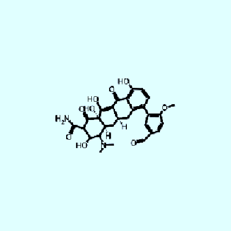 COc1ccc(C=O)cc1-c1ccc(O)c2c1C[C@H]1C[C@H]3[C@@H](N(C)C)C(O)C(C(N)=O)C(=O)[C@@]3(O)C(O)=C1C2=O